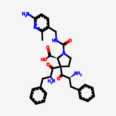 Cc1nc(N)ccc1CNC(=O)N1CCC(C(=O)[C@H](N)Cc2ccccc2)(C(=O)[C@H](N)Cc2ccccc2)[C@@H]1C(=O)O